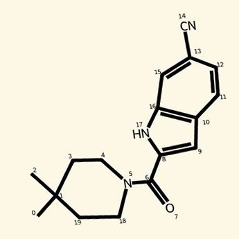 CC1(C)CCN(C(=O)c2cc3ccc(C#N)cc3[nH]2)CC1